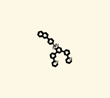 c1ccc(-c2cccc(-c3cc(-c4cccc(-c5ccccn5)c4)c4nn(-c5ccc(-c6ccc7ccccc7c6)cc5)nc4c3)c2)nc1